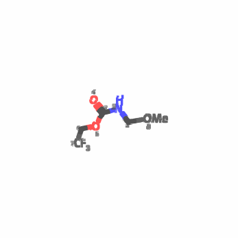 COCNC(=O)OCC(F)(F)F